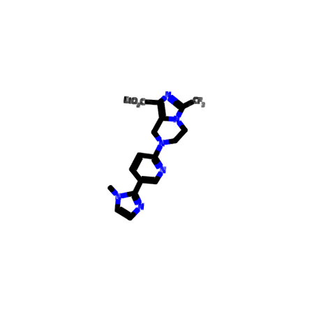 CCOC(=O)c1nc(C(F)(F)F)n2c1CN(c1ccc(-c3nccn3C)cn1)CC2